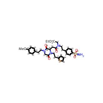 CCOC(=O)CN(CCc1ccc(S(N)(=O)=O)cc1)C(=O)CC1C(=O)N(CCc2ccc(OC)cc2)CC(=O)N1CCc1cccs1